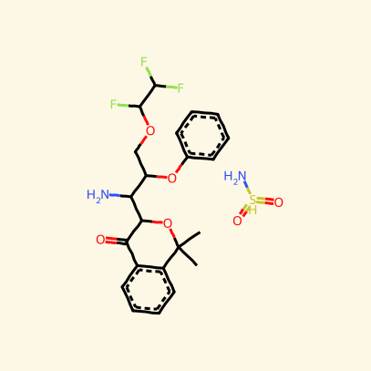 CC1(C)OC(C(N)C(COC(F)C(F)F)Oc2ccccc2)C(=O)c2ccccc21.N[SH](=O)=O